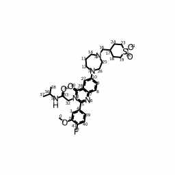 COc1cc(-c2nc3ccc(N4CCCN(CC5CCS(=O)(=O)CC5)CC4)cc3c(=O)n2CC(=O)NC(C)C)ccc1F